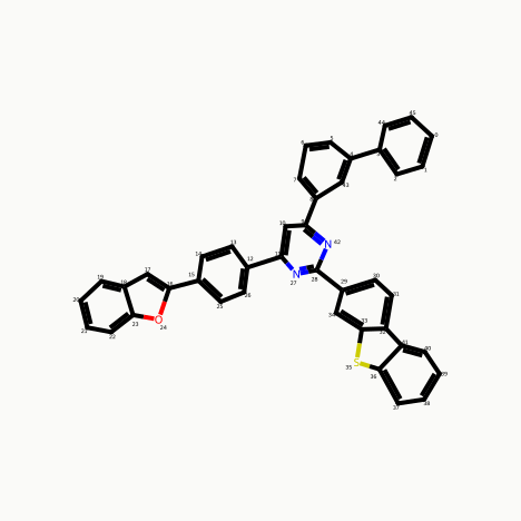 c1ccc(-c2cccc(-c3cc(-c4ccc(-c5cc6ccccc6o5)cc4)nc(-c4ccc5c(c4)sc4ccccc45)n3)c2)cc1